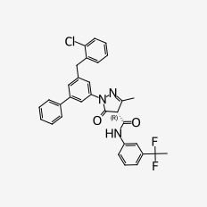 CC1=NN(c2cc(Cc3ccccc3Cl)cc(-c3ccccc3)c2)C(=O)[C@H]1C(=O)Nc1cccc(C(C)(F)F)c1